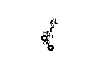 Cc1nccn1CCCNC(=O)c1cccc2oc(-c3ccccc3)nc12